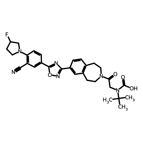 CC(C)(C)N(CC(=O)N1CCc2ccc(-c3noc(-c4ccc(N5CCC(F)C5)c(C#N)c4)n3)cc2CC1)C(=O)O